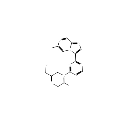 CC1COC(CO)CN1c1ccnc(-c2cnc3cnc(C(F)(F)F)cn23)n1